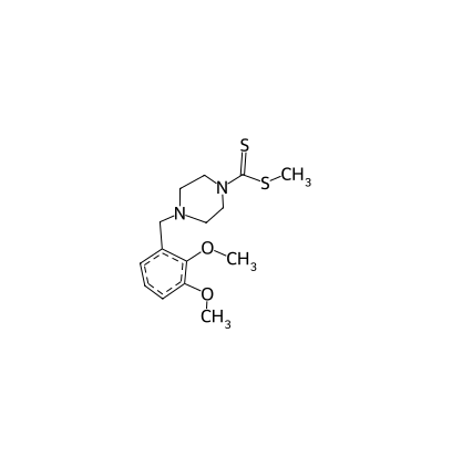 COc1cccc(CN2CCN(C(=S)SC)CC2)c1OC